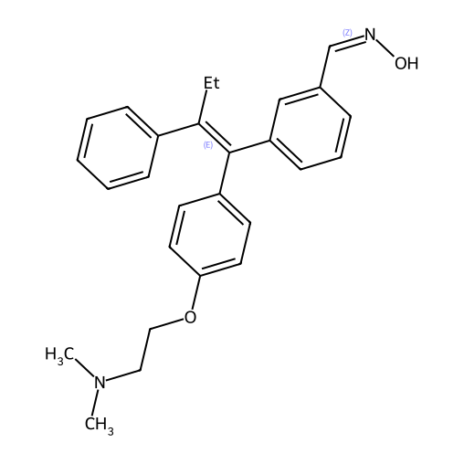 CC/C(=C(/c1ccc(OCCN(C)C)cc1)c1cccc(/C=N\O)c1)c1ccccc1